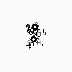 Cc1cc(OC(F)(F)F)ccc1NC(=O)c1c(C)cccc1[N+](=O)[O-]